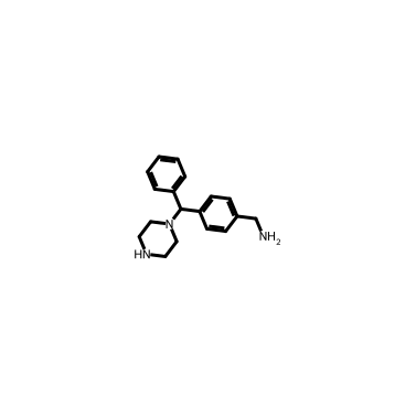 NCc1ccc(C(c2ccccc2)N2CCNCC2)cc1